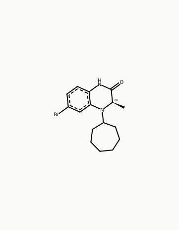 C[C@@H]1C(=O)Nc2ccc(Br)cc2N1C1CCCCCC1